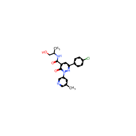 Cc1cncc(-n2nc(-c3ccc(Cl)cc3)cc(C(=O)NC(C)CO)c2=O)c1